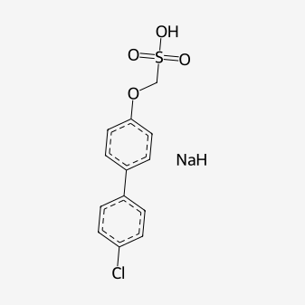 O=S(=O)(O)COc1ccc(-c2ccc(Cl)cc2)cc1.[NaH]